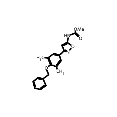 COC(=O)Nc1cc(-c2cc(C)c(OCc3ccccc3)c(C)c2)no1